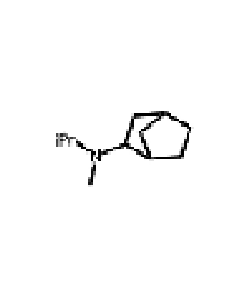 CC(C)N(C)C1CC2CCC1C2